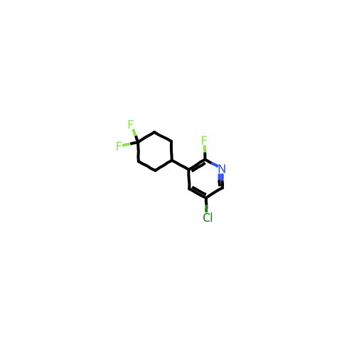 Fc1ncc(Cl)cc1C1CCC(F)(F)CC1